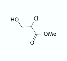 COC(=O)C(Cl)CO